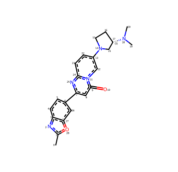 Cc1nc2ccc(-c3cc(=O)n4cc(N5CC[C@H](N(C)C)C5)ccc4n3)cc2o1